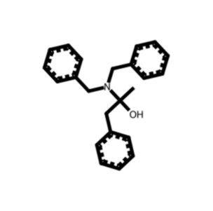 CC(O)(Cc1ccccc1)N(Cc1ccccc1)Cc1ccccc1